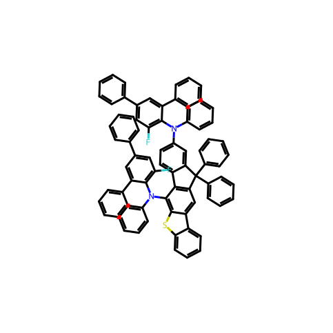 Fc1cc(-c2ccccc2)cc(-c2ccccc2)c1N(c1ccccc1)c1ccc2c(c1)C(c1ccccc1)(c1ccccc1)c1cc3c(sc4ccccc43)c(N(c3ccccc3)c3c(F)cc(-c4ccccc4)cc3-c3ccccc3)c1-2